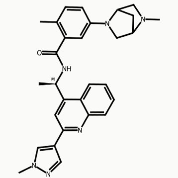 Cc1ccc(N2CC3CC2CN3C)cc1C(=O)N[C@H](C)c1cc(-c2cnn(C)c2)nc2ccccc12